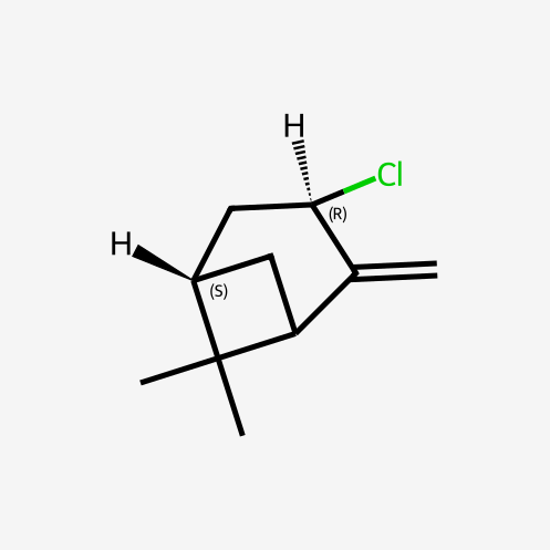 C=C1C2C[C@@H](C[C@H]1Cl)C2(C)C